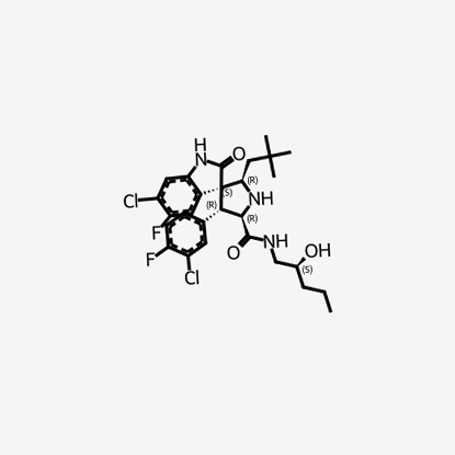 CCC[C@H](O)CNC(=O)[C@@H]1N[C@H](CC(C)(C)C)[C@]2(C(=O)Nc3cc(Cl)c(F)cc32)[C@H]1c1ccc(F)c(Cl)c1